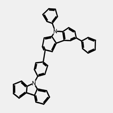 c1ccc(-c2ccc3c(c2)c2cc(-c4ccc(-n5c6ccccc6c6ccccc65)cc4)ccc2n3-c2ccccc2)cc1